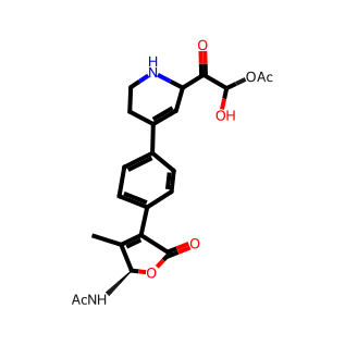 CC(=O)N[C@@H]1OC(=O)C(c2ccc(C3=CC(C(=O)C(O)OC(C)=O)NCC3)cc2)=C1C